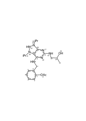 CC(=O)Oc1ccccc1CNc1nc(NCC(C)O)nc2c1N(C(C)C)NN2C(C)C